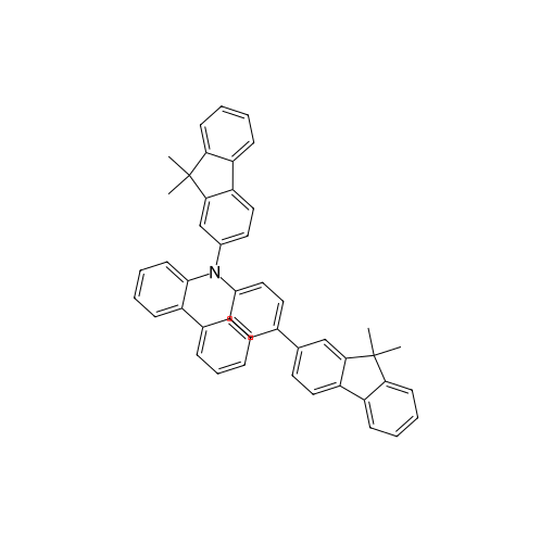 CC1(C)c2ccccc2-c2ccc(-c3ccc(N(c4ccc5c(c4)C(C)(C)c4ccccc4-5)c4ccccc4-c4ccccc4)cc3)cc21